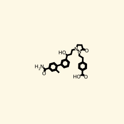 Cc1cc(C(N)=O)ccc1-c1cccc(C(O)CCN2CCC(=O)N2CCc2ccc(C(=O)O)cc2)c1